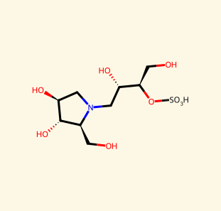 O=S(=O)(O)O[C@H](CO)[C@@H](O)CN1C[C@H](O)[C@@H](O)[C@@H]1CO